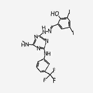 CNc1nc(NN=Cc2cc(I)cc(I)c2O)nc(Nc2cccc(C(F)(F)F)c2)n1